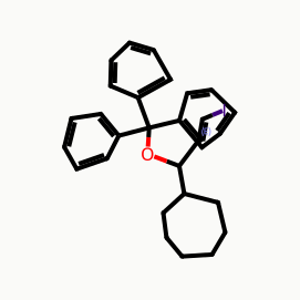 I/C=C/C(OC(c1ccccc1)(c1ccccc1)c1ccccc1)C1CCCCCC1